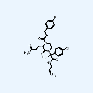 C=CCNC(=O)[C@@](C)(c1ccc(Cl)cc1)N1CCN(C(=O)[CH]Cc2ccc(F)cc2)[C@@H](CCC(N)=O)C1=O